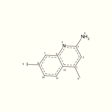 Cc1cc(N)nc2cc(I)ccc12